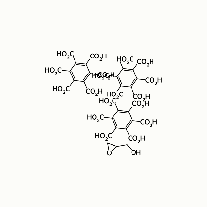 O=C(O)c1c(C(=O)O)c(C(=O)O)c(C(=O)O)c(C(=O)O)c1C(=O)O.O=C(O)c1c(C(=O)O)c(C(=O)O)c(C(=O)O)c(C(=O)O)c1C(=O)O.O=C(O)c1c(C(=O)O)c(C(=O)O)c(C(=O)O)c(C(=O)O)c1C(=O)O.OCC1CO1